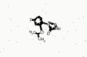 CC(C)Oc1cc(F)ccc1-n1nn[nH]c1=O